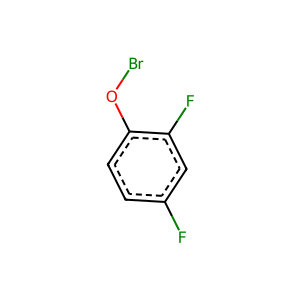 Fc1ccc(OBr)c(F)c1